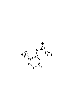 CCN(C)Cc1cnccc1C